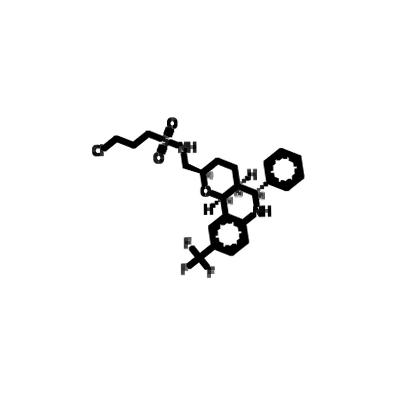 O=S(=O)(CCCCl)NC[C@H]1CC[C@@H]2[C@H](O1)c1cc(C(F)(F)F)ccc1N[C@H]2c1ccccc1